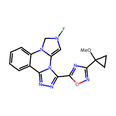 COC1(c2noc(-c3nnc4n3C3=CN(F)CN3c3ccccc3-4)n2)CC1